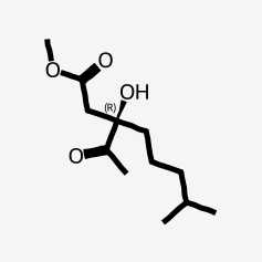 COC(=O)C[C@](O)(CCCC(C)C)C(C)=O